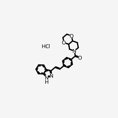 Cl.O=C(c1ccc(C=Cc2n[nH]c3ccccc23)cc1)N1CCC2OCCOC2C1